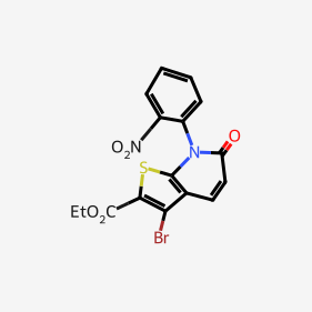 CCOC(=O)c1sc2c(ccc(=O)n2-c2ccccc2[N+](=O)[O-])c1Br